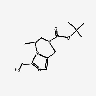 C[C@H]1CN(C(=O)OC(C)(C)C)Cc2cnc(CO)n21